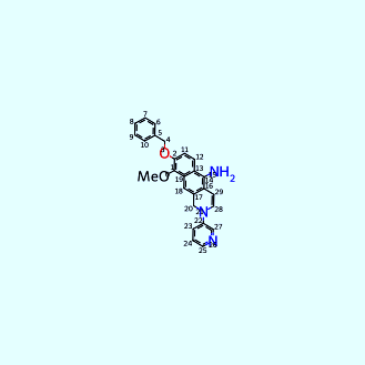 COc1c(OCc2ccccc2)ccc2c(N)c3c(cc12)CN(c1cccnc1)C=C3